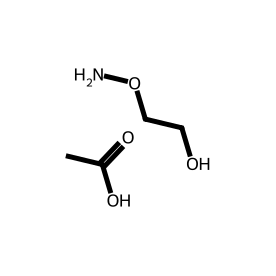 CC(=O)O.NOCCO